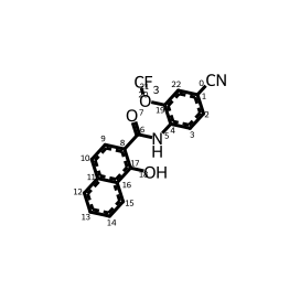 N#Cc1ccc(NC(=O)c2ccc3ccccc3c2O)c(OC(F)(F)F)c1